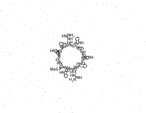 CSCSC[C@@H]1NC(=O)[C@H](Cc2c[nH]c3ccccc23)NC(=O)[C@H](CCCNC(=N)N)N[C@@H](Cc2ccccc2)NC(=O)[C@H](Cc2c[nH]cn2)NC(=O)[C@H](C)NC(=O)CNC(=O)[C@H](Cc2c[nH]c3ccccc23)NC(=O)[C@H](CCCNC(=N)N)NC(=O)[C@@H](Cc2ccccc2)NC(=O)[C@H](Cc2c[nH]cn2)NC(=O)[C@H](C)NC1=O